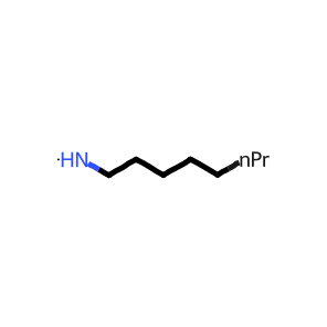 CCCCCCCC[NH]